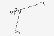 CCCCCCCCCCCCCCCCCCCC(COC(=O)NCC)SCCCCCCCCCCCCCCCCCC